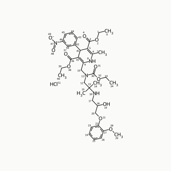 CCOC(=O)C1=C(C)NC(CN(CC(C)(C)NCC(O)COc2ccccc2OC)C(=O)OCC)=C(C(=O)OCC)C1c1cccc([N+](=O)[O-])c1.Cl